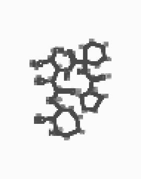 CC(C)[C@H](NC(=O)C1(NC(=O)N2CCCC2)CCCCC1)[C@@H](O)C(=O)N[C@H]1CCCCNC1O